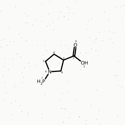 O=C(O)C1CCN(P)C1